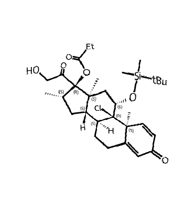 CCC(=O)O[C@]1(C(=O)CO)[C@@H](C)C[C@H]2[C@@H]3CCC4=CC(=O)C=C[C@]4(C)[C@@]3(Cl)[C@@H](O[Si](C)(C)C(C)(C)C)C[C@@]21C